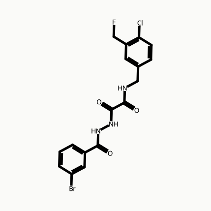 O=C(NCc1ccc(Cl)c(CF)c1)C(=O)NNC(=O)c1cccc(Br)c1